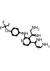 N=C(/C=C\N)c1ccnc(Nc2ccc(OC(F)(F)F)cc2)c1C(=N)CN